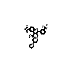 COC(=O)c1c(CN2CCC(N3CCCC3)CC2)c(-c2cccc(C(F)(F)F)c2)nc2ccc(S(C)(=O)=O)cc12